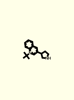 CC(C)(C)[n+]1cc(C2CCNC2)cc2ccccc21